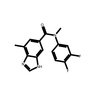 Cc1cc(C(=O)N(C)c2ccc(F)c(F)c2)cc2[nH]cnc12